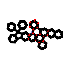 c1ccc(-c2ccccc2-c2c(-c3ccccc3)cccc2-c2ccccc2N(c2cccc(-c3ccc4ccccc4c3)c2)c2ccc3c(c2)C(c2ccccc2)(c2ccccc2)c2ccccc2-3)cc1